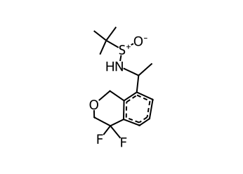 CC(N[S+]([O-])C(C)(C)C)c1cccc2c1COCC2(F)F